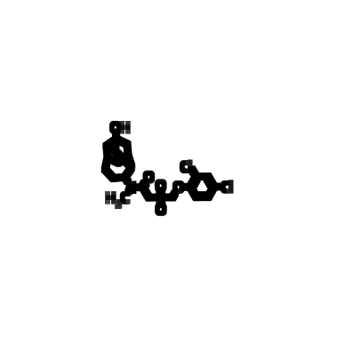 CN(C(=O)CS(=O)(=O)COc1ccc(Cl)cc1Cl)C1CCC2CC3CC(O)(C2)CC31